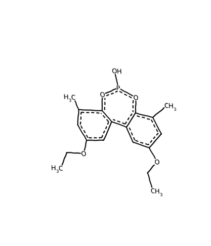 CCOc1cc(C)c2op(O)oc3c(C)cc(OCC)cc3c2c1